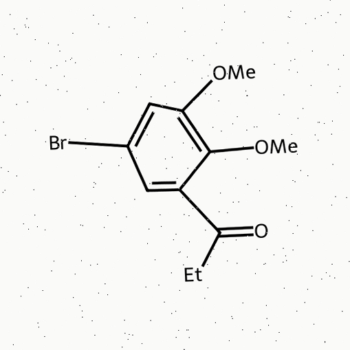 CCC(=O)c1cc(Br)cc(OC)c1OC